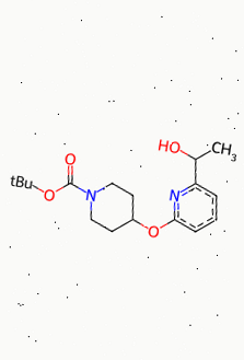 CC(O)c1cccc(OC2CCN(C(=O)OC(C)(C)C)CC2)n1